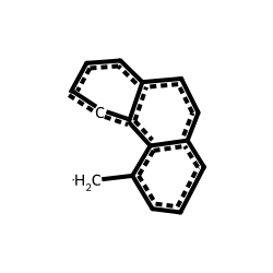 [CH2]c1cccc2ccc3ccccc3c12